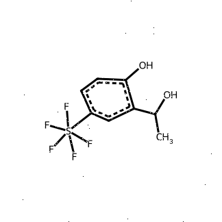 CC(O)c1cc(S(F)(F)(F)(F)F)ccc1O